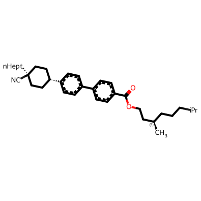 CCCCCCC[C@]1(C#N)CC[C@H](c2ccc(-c3ccc(C(=O)OCC[C@H](C)CCCC(C)C)cc3)cc2)CC1